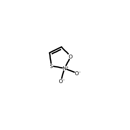 [O-][N+]1([O-])OC=CS1